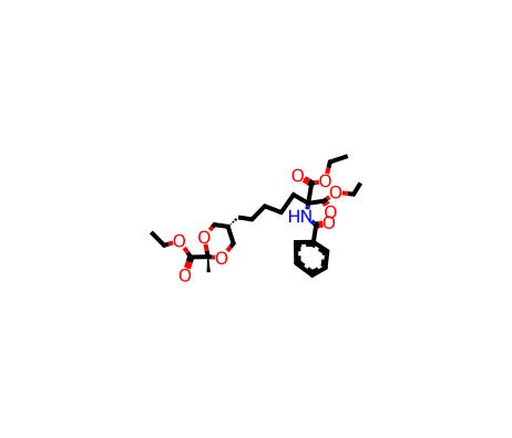 CCOC(=O)C(CCCCC[C@H]1CO[C@@](C)(C(=O)OCC)OC1)(NC(=O)c1ccccc1)C(=O)OCC